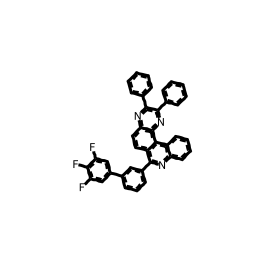 Fc1cc(-c2cccc(-c3nc4ccccc4c4c3ccc3nc(-c5ccccc5)c(-c5ccccc5)nc34)c2)cc(F)c1F